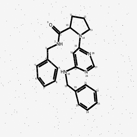 O=C(NCc1ccccc1)C1CCCN1c1cc(NCc2ccccc2)ncn1